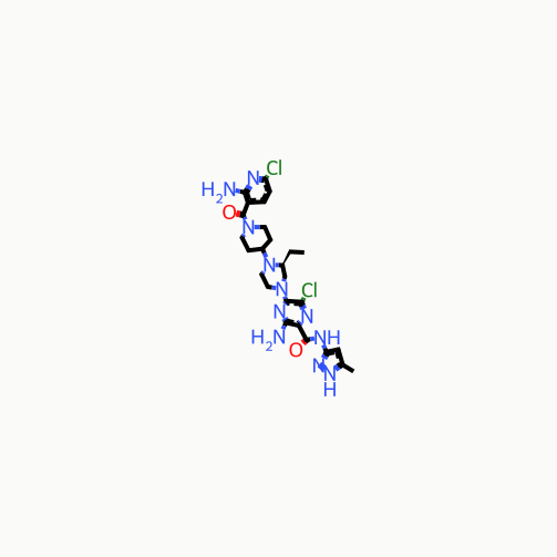 CC[C@H]1CN(c2nc(N)c(C(=O)Nc3cc(C)[nH]n3)nc2Cl)CCN1C1CCN(C(=O)c2ccc(Cl)nc2N)CC1